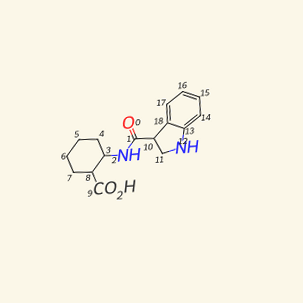 O=C(NC1CCCCC1C(=O)O)C1CNc2ccccc21